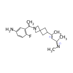 C=C(c1cc(N)ccc1F)N1CC2(CC(/C(C)=C/C(C)=N\C)C2)C1